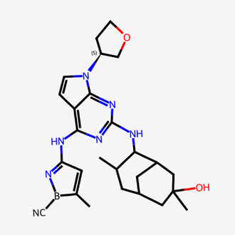 CC1=CC(Nc2nc(NC3C(C)CC4CC3CC(C)(O)C4)nc3c2ccn3[C@H]2CCOC2)=NB1C#N